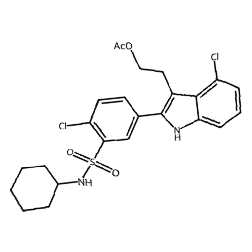 CC(=O)OCCc1c(-c2ccc(Cl)c(S(=O)(=O)NC3CCCCC3)c2)[nH]c2cccc(Cl)c12